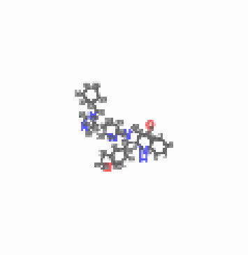 O=c1c2c([nH]c3ccccc13)C(c1ccc3c(c1)CCO3)N(c1ccc(-c3cncn3Cc3ccccc3)cn1)C2